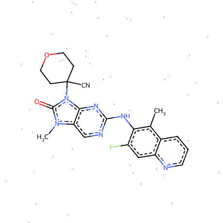 Cc1c(Nc2ncc3c(n2)n(C2(C#N)CCOCC2)c(=O)n3C)c(F)cc2ncccc12